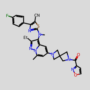 CCc1nn2c(C)cc(N3CC4(CN(C(=O)c5ccon5)C4)C3)cc2c1N(C)c1nc(-c2ccc(F)cc2)c(C#N)s1